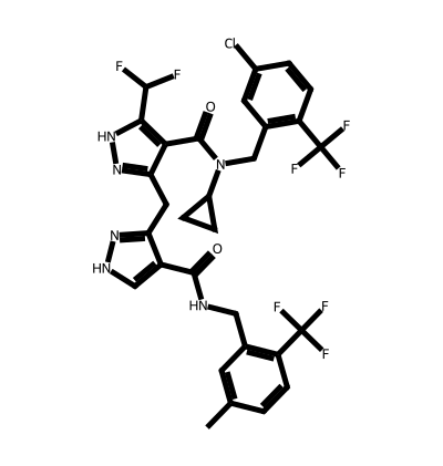 Cc1ccc(C(F)(F)F)c(CNC(=O)c2c[nH]nc2Cc2n[nH]c(C(F)F)c2C(=O)N(Cc2cc(Cl)ccc2C(F)(F)F)C2CC2)c1